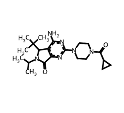 CC(C)N1C(=O)c2nc(N3CCN(C(=O)C4CC4)CC3)nc(N)c2C1C(C)(C)C